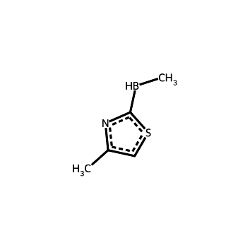 CBc1nc(C)cs1